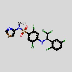 O=C(O)N(c1cscn1)S(=O)(=O)c1cc(Cl)c(N[C@H](c2cc(F)ccc2F)C(F)F)cc1F